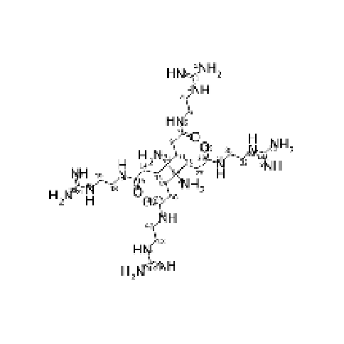 N=C(N)NCCNC(=O)CCC(N)(CCC(=O)NCCNC(=N)N)C(N)(CCC(=O)NCCNC(=N)N)CCC(=O)NCCNC(=N)N